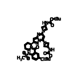 CC(C)(C)OC(=O)NC1CN(c2cc(N3CC(NC(=O)OC(C)(C)C)C3)n3nc([C@@H]4CCCCN4C(=O)c4cc(Cl)ccc4NS(C)(=O)=O)cc3n2)C1